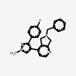 Cn1cc(-c2ccnc3c2CN(Cc2ccccc2)C3)c(-c2ccc(F)cc2)n1